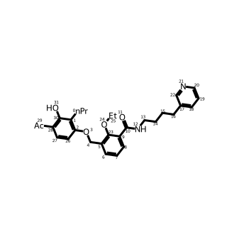 CCCc1c(OCc2cccc(C(=O)NCCCCc3cccnc3)c2OCC)ccc(C(C)=O)c1O